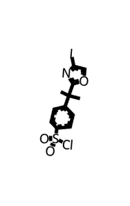 CC(C)(c1ccc(S(=O)(=O)Cl)cc1)c1nc(I)co1